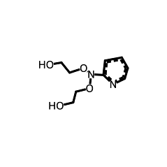 OCCON(OCCO)c1ccccn1